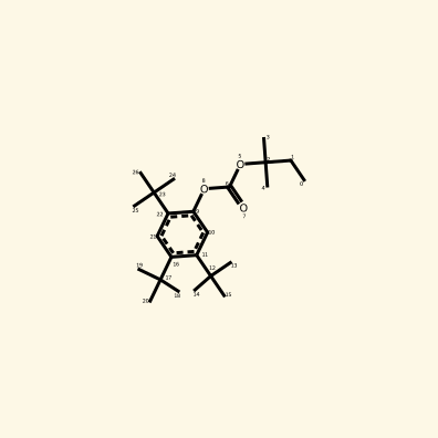 CCC(C)(C)OC(=O)Oc1cc(C(C)(C)C)c(C(C)(C)C)cc1C(C)(C)C